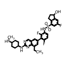 CCc1cc(-c2c(F)ccc(NS(=O)(=O)c3cc(F)cc4c3CCC4O)c2F)cc2cnc(NC3CCC(NC)CC3)nc12